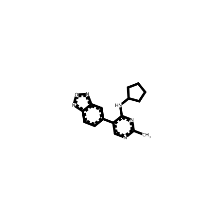 Cc1ncc(-c2ccc3nonc3c2)c(NC2CCCC2)n1